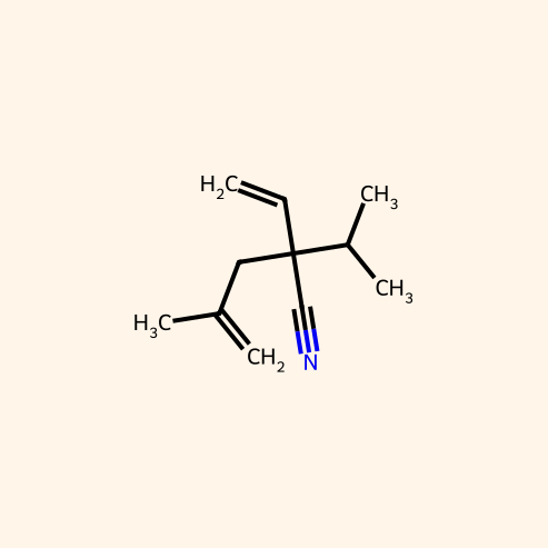 C=CC(C#N)(CC(=C)C)C(C)C